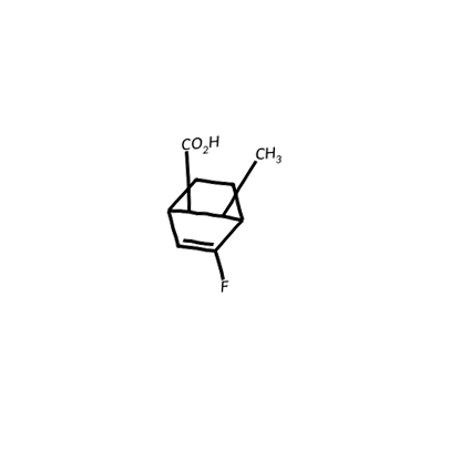 CC1C2CCC(C=C2F)C1C(=O)O